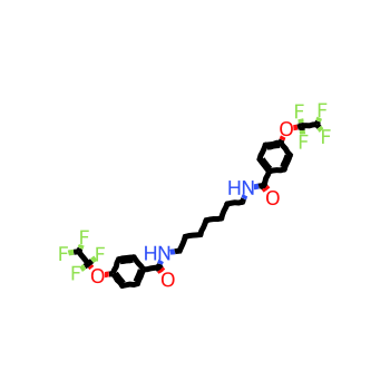 O=C(NCCCCCCCNC(=O)c1ccc(OC(F)(F)C(F)F)cc1)c1ccc(OC(F)(F)C(F)F)cc1